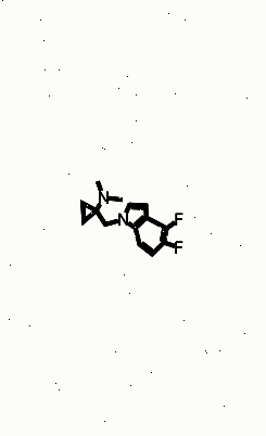 CN(C)C1(Cn2ccc3c(F)c(F)ccc32)CC1